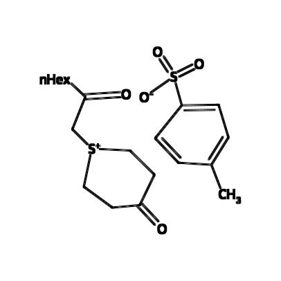 CCCCCCC(=O)C[S+]1CCC(=O)CC1.Cc1ccc(S(=O)(=O)[O-])cc1